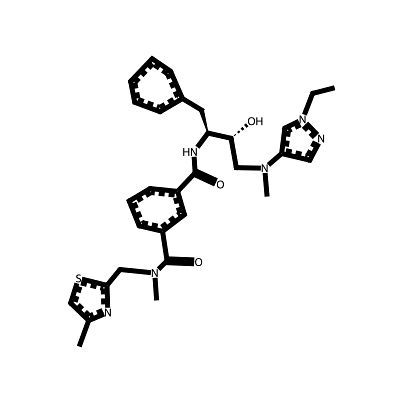 CCn1cc(N(C)C[C@@H](O)[C@H](Cc2ccccc2)NC(=O)c2cccc(C(=O)N(C)Cc3nc(C)cs3)c2)cn1